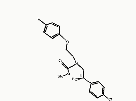 CC(C)(C)OC(=O)N(CCOc1ccc(I)cc1)C[C@H](O)c1ccc(Cl)cc1